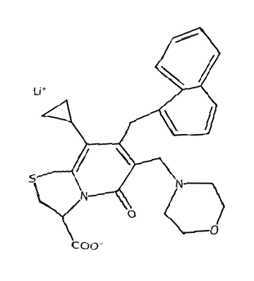 O=C([O-])C1CSc2c(C3CC3)c(Cc3cccc4ccccc34)c(CN3CCOCC3)c(=O)n21.[Li+]